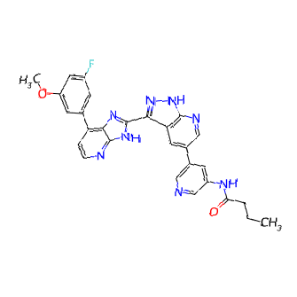 CCCC(=O)Nc1cncc(-c2cnc3[nH]nc(-c4nc5c(-c6cc(F)cc(OC)c6)ccnc5[nH]4)c3c2)c1